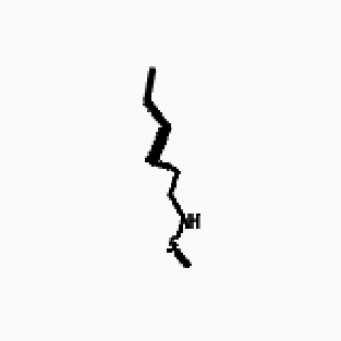 CC/C=C/CCNSC